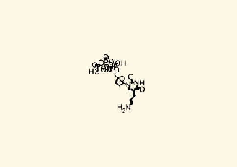 NC=CCc1cn([C@H]2CC[C@@H](COP(=O)(O)OP(=O)(O)OP(=O)(O)O)O2)c(=O)[nH]c1=O